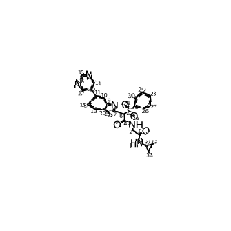 O=C(CNC(=O)C(c1nc2cc(-c3cncnc3)ccc2s1)S(=O)(=O)c1ccccc1)NC1CC1